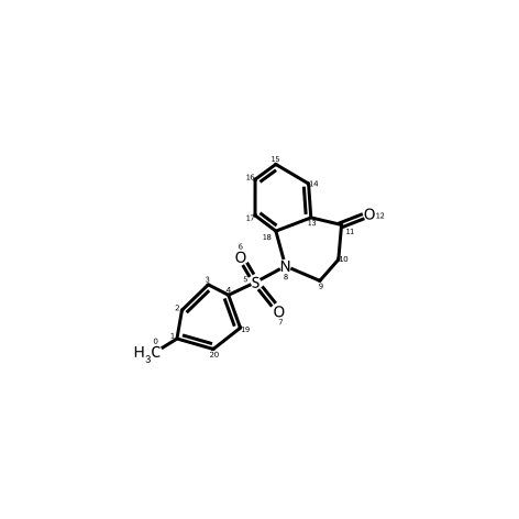 Cc1ccc(S(=O)(=O)N2CCC(=O)c3ccccc32)cc1